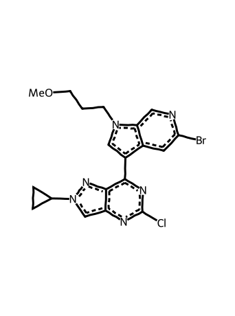 COCCCn1cc(-c2nc(Cl)nc3cn(C4CC4)nc23)c2cc(Br)ncc21